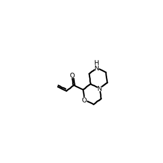 C=CC(=O)C1OCCN2CCNCC12